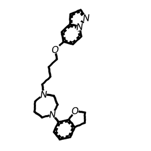 c1cc2c(c(N3CCCN(CCCCOc4ccn5nccc5c4)CC3)c1)OCC2